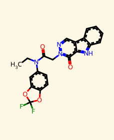 CCN(C(=O)Cn1ncc2c([nH]c3ccccc32)c1=O)c1ccc2c(c1)OC(F)(F)O2